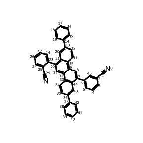 N#Cc1cccc(-c2cc3c4ccc(-c5ccccc5)cc4c(-c4ccccc4C#N)cc3c3ccc(-c4ccccc4)cc23)c1